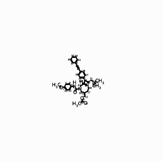 COc1ccc(NC(=O)N2CC(COC(C)=O)CCN3[C@H](CN(C)C)[C@H](c4ccc(C#Cc5ccccc5)cc4)[C@@H]3C2)cc1